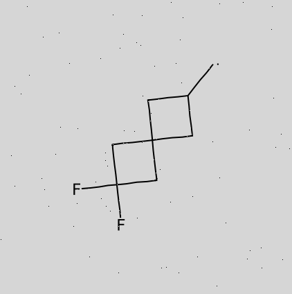 [CH2]C1CC2(C1)CC(F)(F)C2